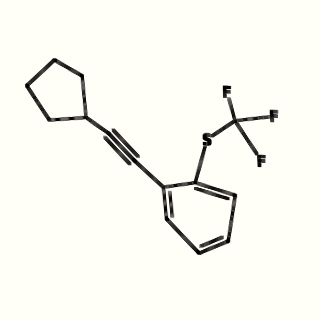 FC(F)(F)Sc1ccccc1C#CC1CCCC1